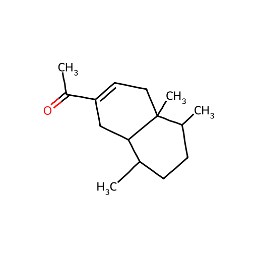 CC(=O)C1=CCC2(C)C(C)CCC(C)C2C1